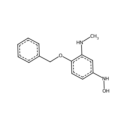 CNc1cc(NO)ccc1OCc1ccccc1